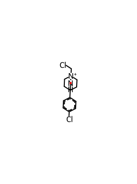 ClC[N+]12CCC(c3ccc(Cl)cc3)(CC1)CN2